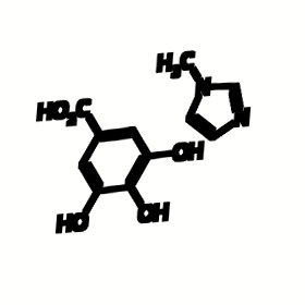 Cn1ccnc1.O=C(O)c1cc(O)c(O)c(O)c1